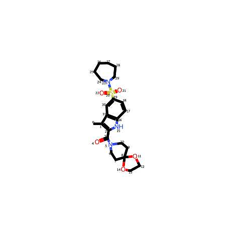 Cc1c(C(=O)N2CCC3(CC2)OCCO3)[nH]c2ccc(S(=O)(=O)N3CCCCCC3)cc12